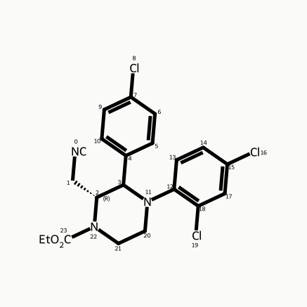 [C-]#[N+]C[C@@H]1C(c2ccc(Cl)cc2)N(c2ccc(Cl)cc2Cl)CCN1C(=O)OCC